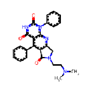 CN(C)CCN1Cc2nc3c(c(-c4ccccc4)c2C1=O)c(=O)[nH]c(=O)n3-c1ccccc1